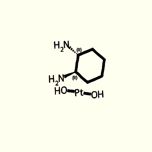 N[C@@H]1CCCC[C@H]1N.[OH][Pt][OH]